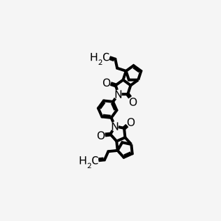 C=CCC12C=CC(C1)C1C(=O)N(c3cccc(N4C(=O)C5C6C=CC(CC=C)(C6)C5C4=O)c3)C(=O)C12